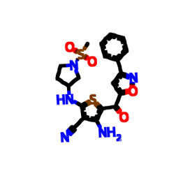 CS(=O)(=O)N1CCC(Nc2sc(C(=O)c3cc(-c4ccccc4)no3)c(N)c2C#N)C1